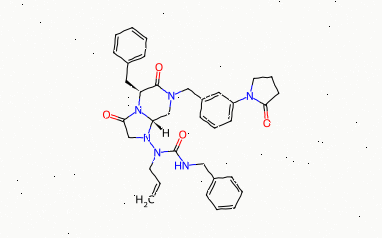 C=CCN(C(=O)NCc1ccccc1)N1CC(=O)N2[C@@H](Cc3ccccc3)C(=O)N(Cc3cccc(N4CCCC4=O)c3)C[C@@H]21